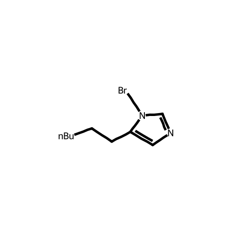 CCCCCCc1cncn1Br